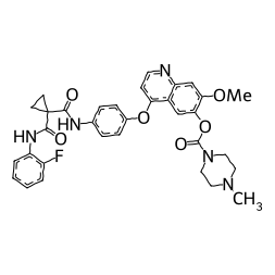 COc1cc2nccc(Oc3ccc(NC(=O)C4(C(=O)Nc5ccccc5F)CC4)cc3)c2cc1OC(=O)N1CCN(C)CC1